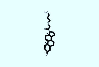 C[C@]12C=CC(=O)C=C1CCC1C2=CC[C@@]2(C)C1CC[C@@H]2C(=O)COCCCO